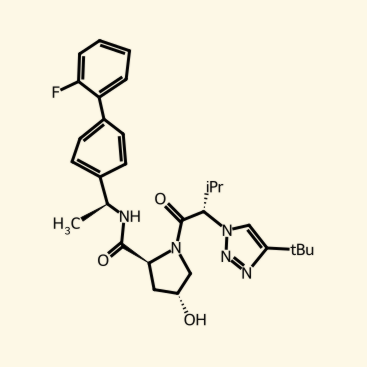 CC(C)[C@@H](C(=O)N1C[C@H](O)C[C@H]1C(=O)N[C@@H](C)c1ccc(-c2ccccc2F)cc1)n1cc(C(C)(C)C)nn1